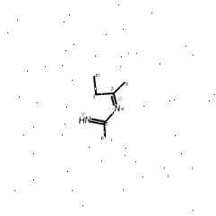 CC/C(C)=N\C(C)=N